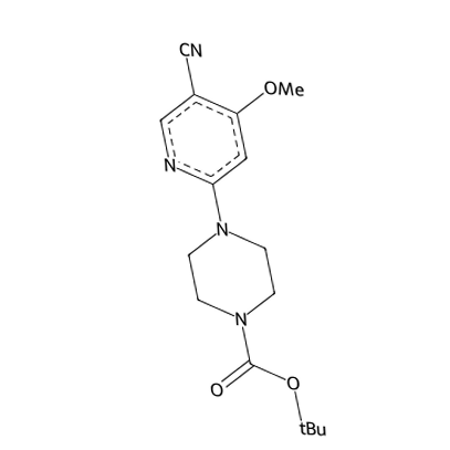 COc1cc(N2CCN(C(=O)OC(C)(C)C)CC2)ncc1C#N